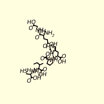 CCC(C)C(N)C(=O)O.NC(CCC(=O)O)C(=O)O.NC(CS)C(=O)O.NC(Cc1c[nH]cn1)C(=O)O.NCC(=O)O.O=C(O)C1CCCN1